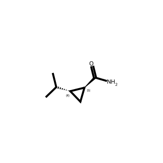 CC(C)[C@H]1C[C@@H]1C(N)=O